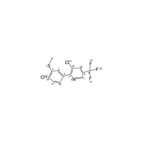 CSc1cc(-c2ncc(C(F)(F)F)cc2Cl)ccc1Cl